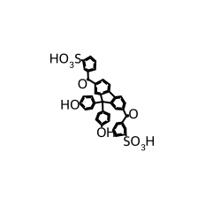 O=C(c1cccc(S(=O)(=O)O)c1)c1ccc2c(c1)C(c1ccc(O)cc1)(c1ccc(O)cc1)c1cc(C(=O)c3cccc(S(=O)(=O)O)c3)ccc1-2